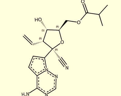 C=C[C@@H]1[C@H](O)[C@@H](COC(=O)C(C)C)O[C@@]1(C#N)c1ccc2c(N)ncnn12